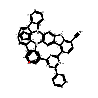 N#Cc1ccc(-c2nc(-c3ccccc3)nc(-c3ccccc3)n2)c2c1oc1cc(-n3c4ccccc4c4ccccc43)c(-n3c4ccccc4c4ccccc43)cc12